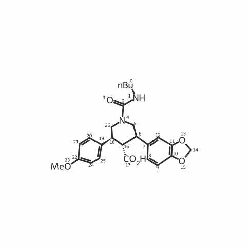 CCCCNC(=O)N1CC(c2ccc3c(c2)OCO3)[C@H](C(=O)O)[C@@H](c2ccc(OC)cc2)C1